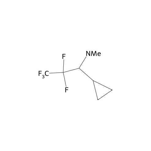 CNC(C1CC1)C(F)(F)C(F)(F)F